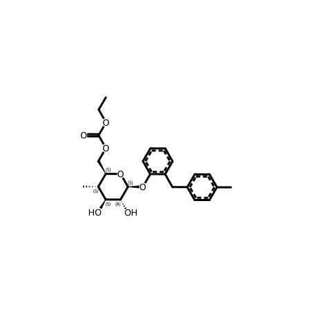 CCOC(=O)OC[C@H]1O[C@@H](Oc2ccccc2Cc2ccc(C)cc2)[C@H](O)[C@@H](O)[C@@H]1C